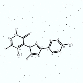 Cc1nn(C)c(=O)c(-n2nc(-c3ccc(C(F)(F)F)cc3)cc2C)c1O